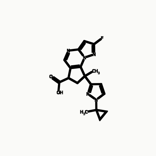 CC1(c2ccn(C3(C)CC3)n2)CC(C(=O)O)c2cnc3cc(F)nn3c21